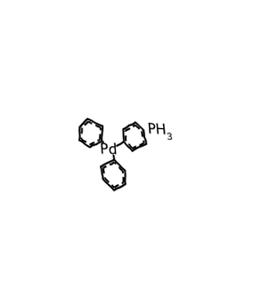 P.c1cc[c]([Pd]([c]2ccccc2)[c]2ccccc2)cc1